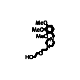 COc1ccc(CN2CCN(CCOCCO)CC2)c(OC)c1OC